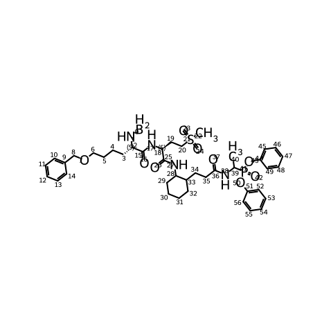 BN[C@@H](CCCCOCc1ccccc1)C(=O)N[C@@H](CCS(C)(=O)=O)C(=O)NC1CCCCC1CCC(=O)NC(C)P(=O)(Oc1ccccc1)Oc1ccccc1